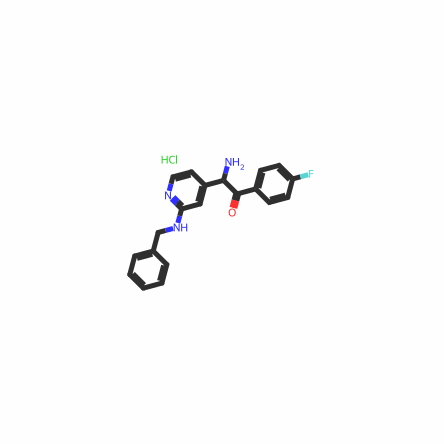 Cl.NC(C(=O)c1ccc(F)cc1)c1ccnc(NCc2ccccc2)c1